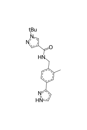 Cc1cc(-c2cc[nH]n2)ccc1CNC(=O)c1cnn(C(C)(C)C)c1